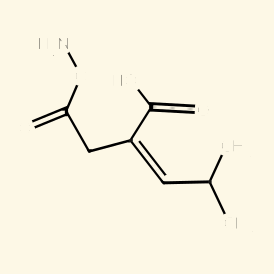 CC(C)C=C(CC(=O)ON)C(=O)O